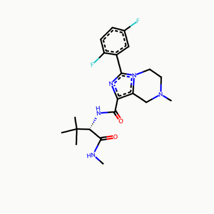 CNC(=O)[C@@H](NC(=O)c1nc(-c2cc(F)ccc2F)n2c1CN(C)CC2)C(C)(C)C